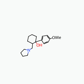 COc1ccc(C2(O)CCCCC2CN2CCCC2)cc1